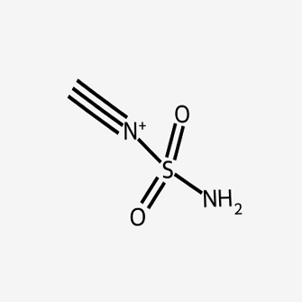 C#[N+]S(N)(=O)=O